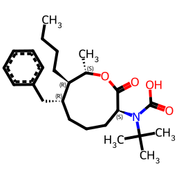 CCCC[C@@H]1[C@@H](Cc2ccccc2)CCC[C@H](N(C(=O)O)C(C)(C)C)C(=O)O[C@H]1C